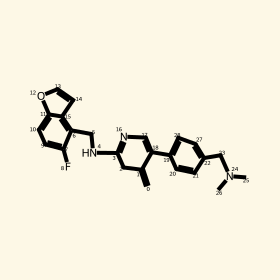 C=C1CC(NCc2c(F)ccc3occc23)=NC=C1c1ccc(CN(C)C)cc1